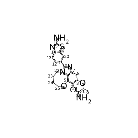 CC(Oc1cc2c3c(c1)nc(-c1ccc4nc(N)sc4c1)n3CCCCO2)C(N)=O